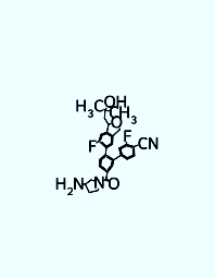 CC(C)(O)CC1OCc2cc(-c3ccc(C(=O)N4CCC(N)C4)cc3-c3ccc(C#N)c(F)c3)c(F)cc21